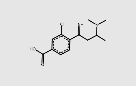 CC(CC(=N)c1ccc(C(=O)O)cc1Cl)N(C)C